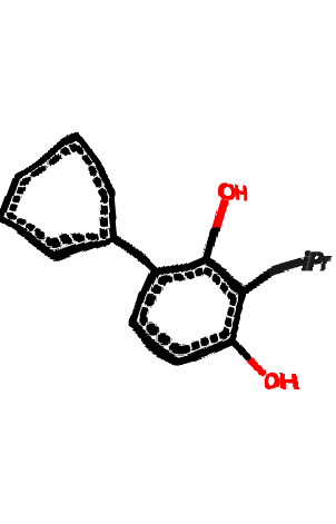 CC(C)c1c(O)ccc(-c2ccccc2)c1O